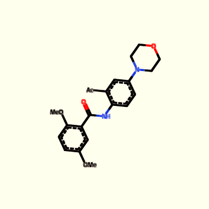 COc1ccc(OC)c(C(=O)Nc2ccc(N3CCOCC3)cc2C(C)=O)c1